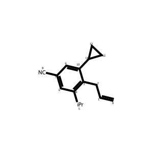 C=CCc1c(C(C)C)cc(C#N)cc1C1CC1